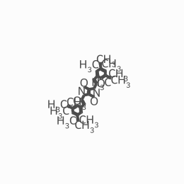 CC(C)(C)c1cc(C(C)(C)C)c2oc(-c3nc(=O)c4c(-c5cc6cc(C(C)(C)C)cc(C(C)(C)C)c6o5)nc(=O)c3=4)cc2c1